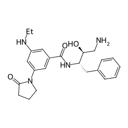 CCNc1cc(C(=O)N[C@@H](Cc2ccccc2)[C@@H](O)CN)cc(N2CCCC2=O)c1